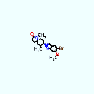 COc1cc2nn(C3CC[C@@]4(CCC(=O)N4C)CC3C)cc2cc1Br